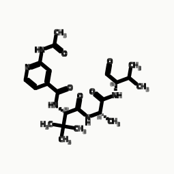 CC(=O)Nc1cc(C(=O)N[C@H](C(=O)N[C@@H](C)C(=O)N[C@H](C=O)C(C)C)C(C)(C)C)ccn1